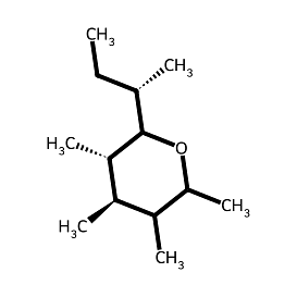 CC[C@H](C)C1OC(C)C(C)[C@@H](C)[C@@H]1C